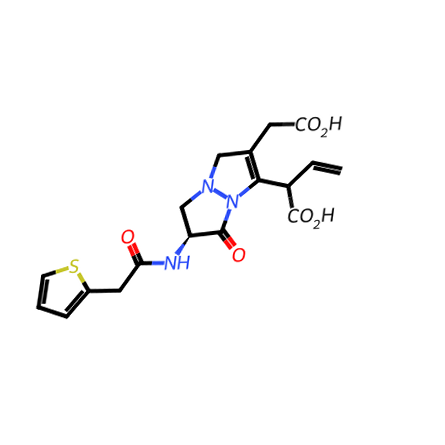 C=CC(C(=O)O)C1=C(CC(=O)O)CN2C[C@H](NC(=O)Cc3cccs3)C(=O)N12